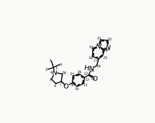 CC(C)(C)N1CCC(Oc2ccc(C(=O)NCc3ccn4ccnc4c3)cc2)C1